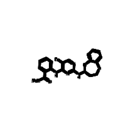 CNC(=O)c1ccccc1Nc1nc(NC2CCOc3ccccc3O2)ncc1Cl